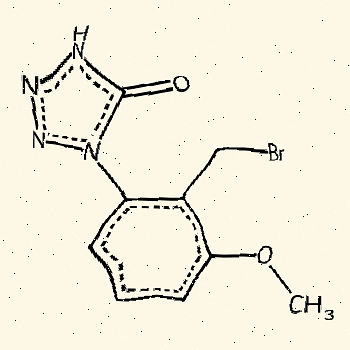 COc1cccc(-n2nn[nH]c2=O)c1CBr